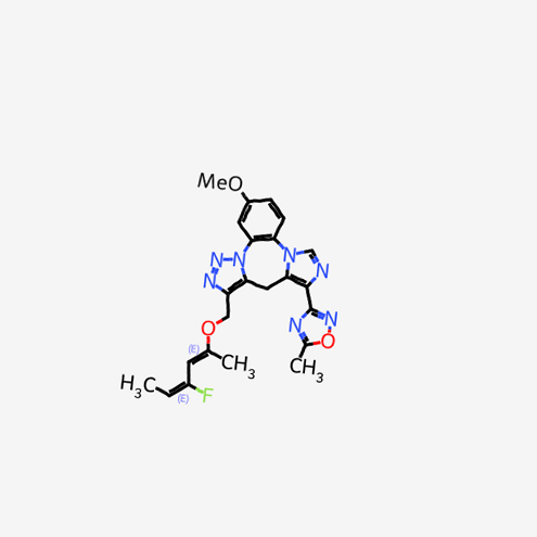 C/C=C(F)\C=C(/C)OCc1nnn2c1Cc1c(-c3noc(C)n3)ncn1-c1ccc(OC)cc1-2